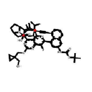 CC1Oc2nc(-c3cc(NC(=O)OC(C)(C)C)cc4cccc(C#C[Si](C(C)C)(C(C)C)C(C)C)c34)c(F)c3nc(OCC4(CO)CC4)nc(c23)N2CC3CCC(C12)N3C(=O)O